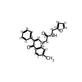 Cc1ccc2c(=O)c(-c3ccccc3)cn(CC(=O)NCc3ccco3)c2c1